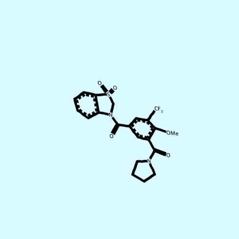 COc1c(C(=O)N2CCCC2)cc(C(=O)N2CS(=O)(=O)c3ccccc32)cc1C(F)(F)F